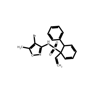 C=CC1(S(=O)(=O)Nc2noc(C)c2Br)C=CC=CC1c1ccccc1